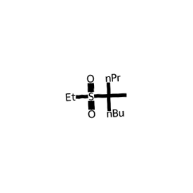 CCCCC(C)(CCC)S(=O)(=O)CC